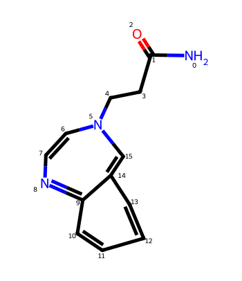 NC(=O)CCN1C=CN=c2ccccc2=C1